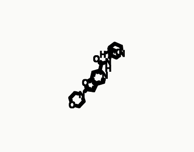 O=C(N[C@H]1CN2CCC1CC2)c1cc2oc(N3CCOCC3)cc2cn1